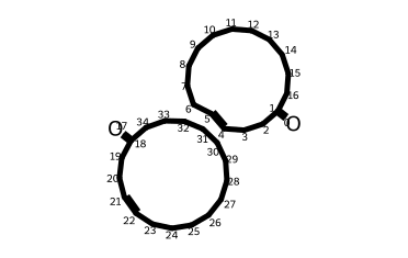 O=C1CC/C=C/CCCCCCCCCCC1.O=C1CC/C=C\CCCCCCCCCCCC1